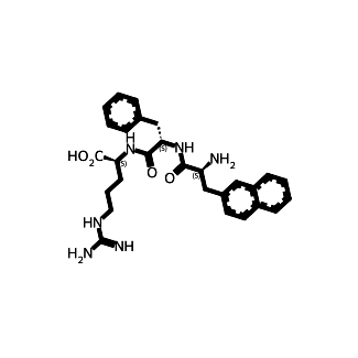 N=C(N)NCCC[C@H](NC(=O)[C@H](Cc1ccccc1)NC(=O)[C@@H](N)Cc1ccc2ccccc2c1)C(=O)O